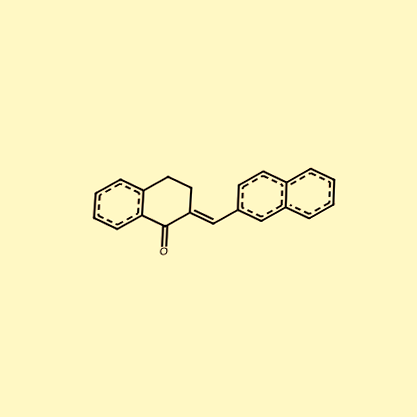 O=C1/C(=C/c2ccc3ccccc3c2)CCc2ccccc21